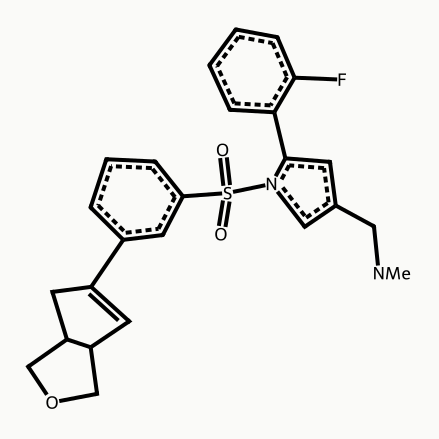 CNCc1cc(-c2ccccc2F)n(S(=O)(=O)c2cccc(C3=CC4COCC4C3)c2)c1